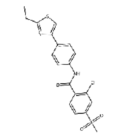 CCc1nc(-c2ccc(NC(=O)c3ccc(S(C)(=O)=O)cc3Cl)cc2)cs1